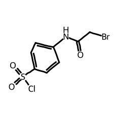 O=C(CBr)Nc1ccc(S(=O)(=O)Cl)cc1